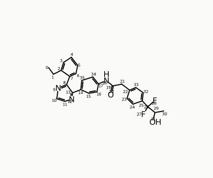 CCc1ccccc1-c1nccnc1-c1ccc(NC(=O)Cc2ccc(C(F)(F)C(C)O)cc2)cc1